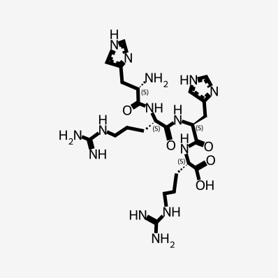 N=C(N)NCCC[C@H](NC(=O)[C@H](Cc1c[nH]cn1)NC(=O)[C@H](CCCNC(=N)N)NC(=O)[C@@H](N)Cc1c[nH]cn1)C(=O)O